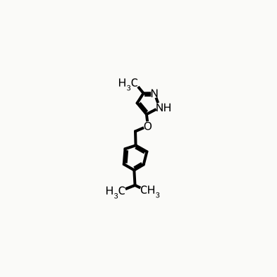 Cc1cc(OCc2ccc(C(C)C)cc2)[nH]n1